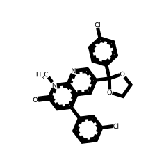 Cn1c(=O)cc(-c2cccc(Cl)c2)c2cc(C3(c4ccc(Cl)cc4)OCCO3)cnc21